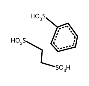 O=S(=O)(O)CCS(=O)(=O)O.O=S(=O)(O)c1ccccc1